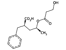 C[C@@H](C[C@@H](Cc1ccccc1)C(=O)O)OC(=O)CCO